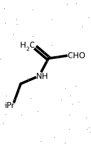 [CH2]C(C)CNC(=C)C=O